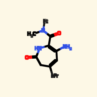 CCCC1=CC(N)=C(C(=O)N(C)CC)NC(=O)C1